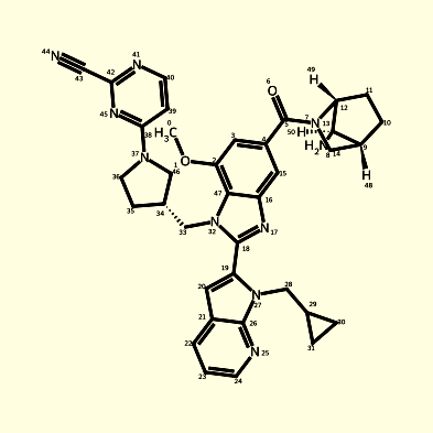 COc1cc(C(=O)N2C[C@H]3CC[C@@H]2[C@@H]3N)cc2nc(-c3cc4cccnc4n3CC3CC3)n(C[C@@H]3CCN(c4ccnc(C#N)n4)C3)c12